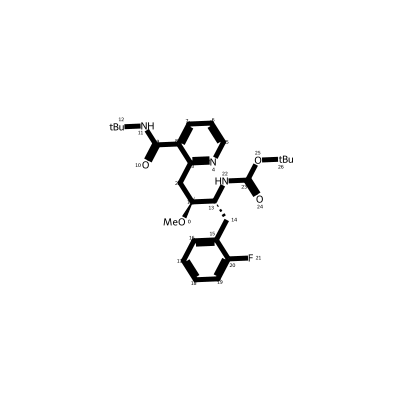 CO[C@@H](Cc1ncccc1C(=O)NC(C)(C)C)[C@@H](Cc1ccccc1F)NC(=O)OC(C)(C)C